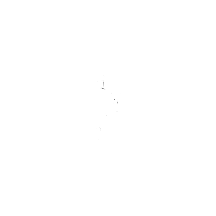 COCCCN1C[C@@H]1C=O